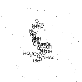 COC(=O)[C@H](CCNC(=O)C1OC(OC2C(O)C(COS(=O)(=O)O)OC(OC(C)(C)C)C2NC(C)=O)C(O)C(O)C1OC(C)(C)C)NC(=O)n1ccc2c(-c3cnn([C@H](C(C)C#N)C4CCCC4)c3)ncnc21